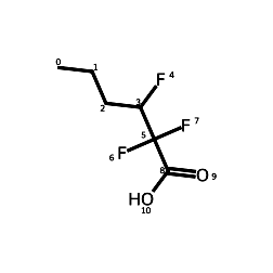 CCCC(F)C(F)(F)C(=O)O